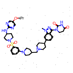 CC(C)Oc1cnc(NC2CCN(S(=O)(=O)c3cccc(N4CCC(CN5CCC(c6ccc7c(N8CCC(=O)NC8=O)nn(C)c7c6)CC5)CC4)c3)CC2)nc1